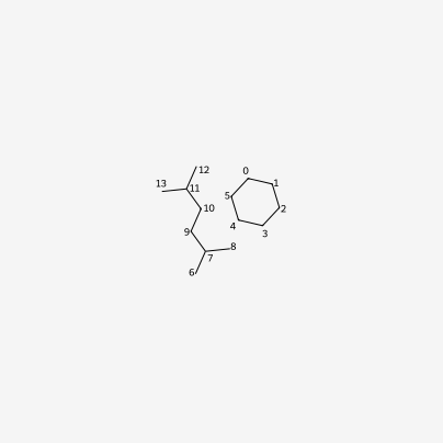 C1CCCCC1.CC(C)CCC(C)C